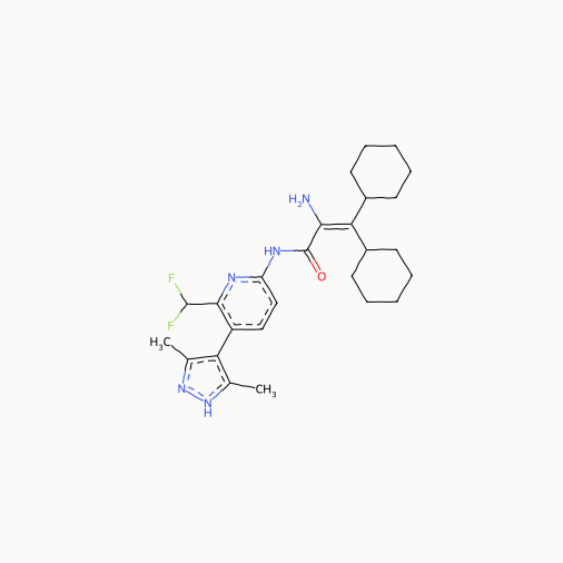 Cc1n[nH]c(C)c1-c1ccc(NC(=O)C(N)=C(C2CCCCC2)C2CCCCC2)nc1C(F)F